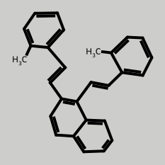 Cc1ccccc1C=Cc1ccc2ccccc2c1C=Cc1ccccc1C